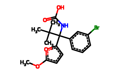 COc1ccc(C(NC(=O)O)(c2cccc(Br)c2)C(C)(C)C)o1